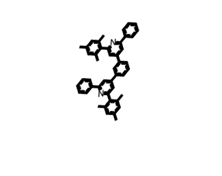 Cc1cc(C)c(-c2cc(-c3cccc(-c4cc(-c5ccccc5)nc(-c5c(C)cc(C)cc5C)c4)c3)cc(-c3ccccc3)n2)c(C)c1